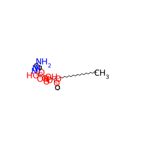 CCCCCCCCCCCCCCCCCCOCC(COc1ccccc1)COP(=O)(O)OC[C@H]1O[C@@](C#N)(c2ccc3c(N)ccnn23)[C@H](O)[C@@H]1O